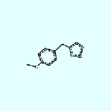 COc1ccc(Cc2cn[c]s2)cc1